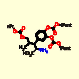 CCCOC(=O)OCC(C)C(c1ccc(OC(=O)OC(C)CCC)c(OC(=O)OC(C)CCC)c1)[C@H](N)C(=O)O